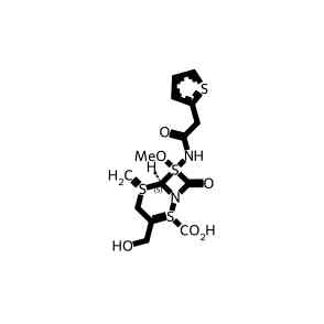 C=S1CC(CO)=S(C(=O)O)N2C(=O)S(NC(=O)Cc3cccs3)(OC)[C@@H]21